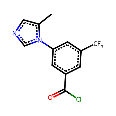 Cc1cncn1-c1cc(C(=O)Cl)cc(C(F)(F)F)c1